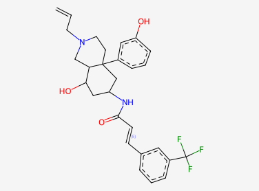 C=CCN1CCC2(c3cccc(O)c3)CC(NC(=O)/C=C/c3cccc(C(F)(F)F)c3)CC(O)C2C1